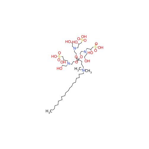 CCCCCCCCCCCCCCCCCC[N+](C)(C)CCC[Si](OCCN(CCO)CC(O)CS(=O)(=O)O)(OCCN(CCO)CC(O)CS(=O)(=O)O)OCCN(CCO)CC(O)CS(=O)(=O)O